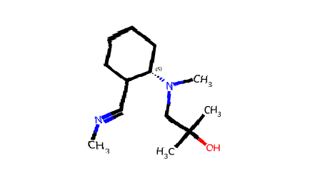 CN=CC1CCCC[C@@H]1N(C)CC(C)(C)O